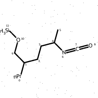 CCCC(CCC(C)N=C=O)CO[SiH3]